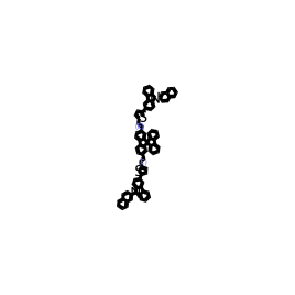 C(=C\c1ccc(-c2ccc3c(c2)c2ccccc2n3-c2ccc3ccccc3c2)s1)/c1ccc2c(c1)C1(c3ccccc3-c3ccccc31)c1cc(/C=C/c3ccc(-c4ccc5c(c4)c4ccccc4n5-c4ccc5ccccc5c4)s3)ccc1-2